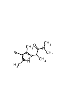 Cc1nn(C(C)C(=O)N(C)C)c(C)c1Br